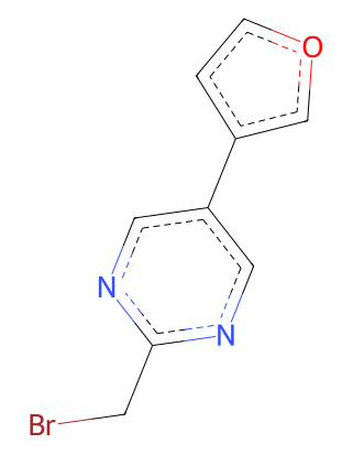 BrCc1ncc(-c2ccoc2)cn1